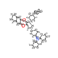 CCCCc1ccc(-c2cc(-c3ccc(N(c4ccccc4)c4ccccc4)cc3)cc3c2Oc2cc4ccccc4cc2O3)cc1